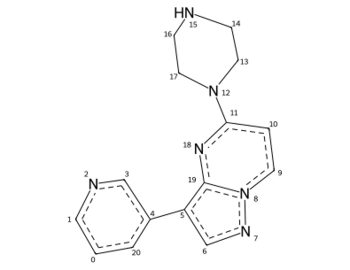 c1cncc(-c2cnn3ccc(N4CCNCC4)nc23)c1